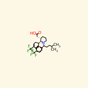 CC(C)CCC(c1ccc(C(F)(F)F)cc1)N1CCC[C@@H](CC(=O)O)[C@@H]1C1C=CC(C(F)(F)F)=CC1